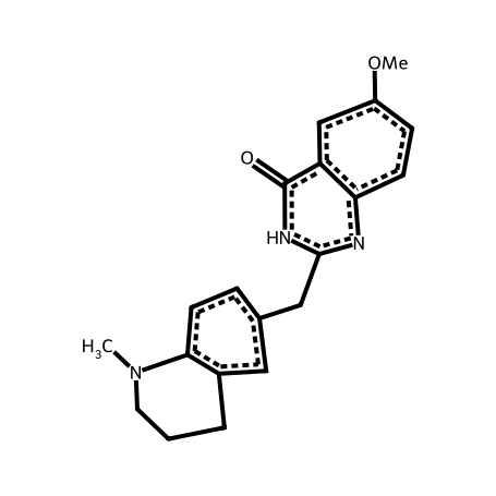 COc1ccc2nc(Cc3ccc4c(c3)CCCN4C)[nH]c(=O)c2c1